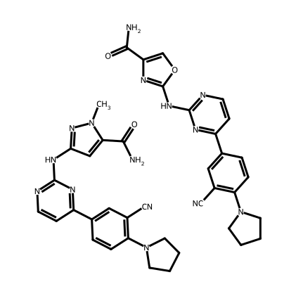 Cn1nc(Nc2nccc(-c3ccc(N4CCCC4)c(C#N)c3)n2)cc1C(N)=O.N#Cc1cc(-c2ccnc(Nc3nc(C(N)=O)co3)n2)ccc1N1CCCC1